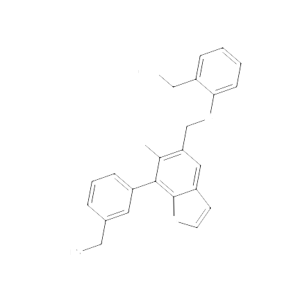 CCOC(=O)Cc1ccccc1OCc1cc2ccoc2c(-c2cccc(CN)c2)c1F